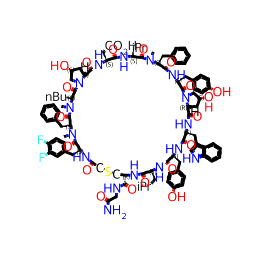 CCCC[C@H]1C(=O)N2C[C@@H](O)C[C@@H]2C(=O)N[C@@H](CC(=O)O)C(=O)N[C@@H](C(C)C)C(=O)N(C)[C@@H](Cc2ccccc2)C(=O)N[C@@H](Cc2ccc(O)cc2)C(=O)N2C[C@@H](O)C[C@@H]2C(=O)N[C@@H](Cc2c[nH]c3ccccc23)C(=O)N[C@@H](Cc2ccc(O)cc2)C(=O)N[C@@H](CC(C)C)C(=O)N[C@H](C(=O)NCC(N)=O)CSCC(=O)N[C@@H](Cc2ccc(F)c(F)c2)C(=O)N(C)[C@@H](Cc2ccccc2)C(=O)N1C